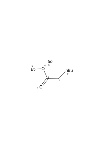 CCCCCC(=O)OCC.[Sc]